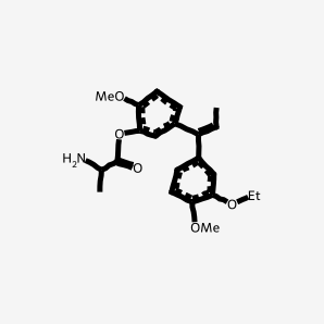 C/C=C(/c1ccc(OC)c(OCC)c1)c1ccc(OC)c(OC(=O)C(C)N)c1